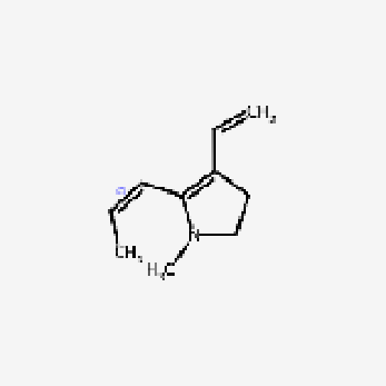 C=CC1=C(/C=C\C)N(C)CC1